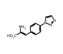 NC(=Cc1ccc(-n2ccnn2)cc1)C(=O)O